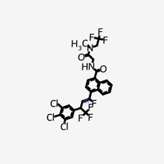 CN(CC(F)(F)F)C(=O)CNC(=O)c1ccc(/C(F)=C/C(c2cc(Cl)c(Cl)c(Cl)c2)C(F)(F)F)c2ccccc12